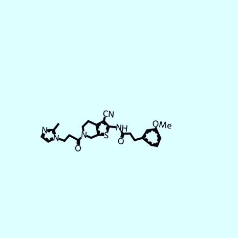 COc1cccc(CCC(=O)Nc2sc3c(c2C#N)CCN(C(=O)CCn2ccnc2C)C3)c1